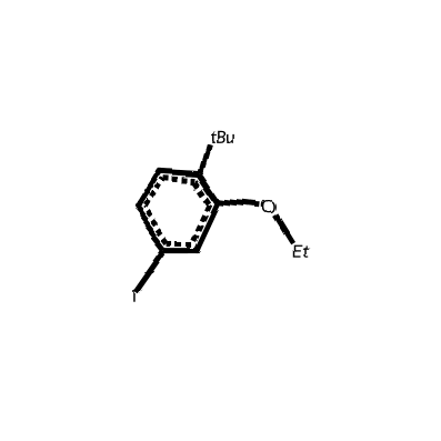 CCOc1cc(I)ccc1C(C)(C)C